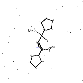 CO/C(=C\C(C)(OC)C1CCCC1)C1CCCC1